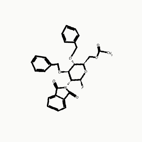 CC(=O)OC[C@H]1O[C@@H](F)[C@H](N2C(=O)c3ccccc3C2=O)[C@@H](OCc2ccccc2)[C@@H]1OCc1ccccc1